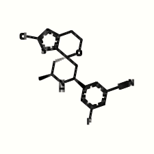 C[C@H]1C[C@@]2(C[C@@H](c3cc(F)cc(C#N)c3)N1)OCCc1cc(Cl)sc12